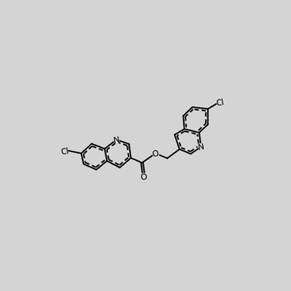 O=C(OCc1cnc2cc(Cl)ccc2c1)c1cnc2cc(Cl)ccc2c1